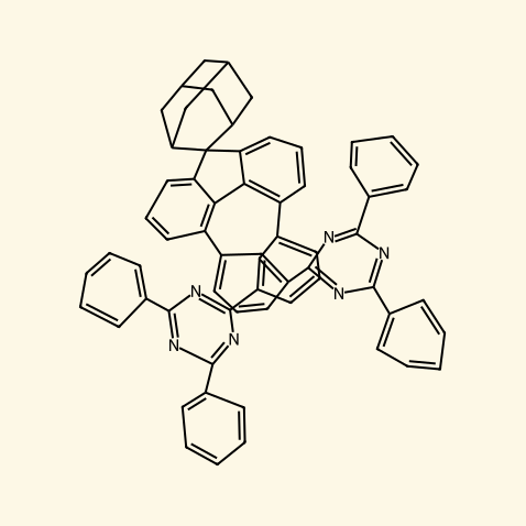 c1ccc(-c2nc(-c3ccccc3)nc(-c3cccc(-c4cccc5c4-c4c(-c6cccc(-c7nc(-c8ccccc8)nc(-c8ccccc8)n7)c6)cccc4C54C5CC6CC(C5)CC4C6)c3)n2)cc1